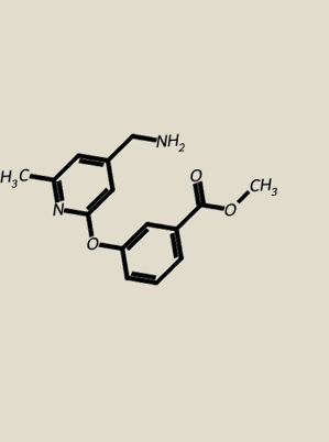 COC(=O)c1cccc(Oc2cc(CN)cc(C)n2)c1